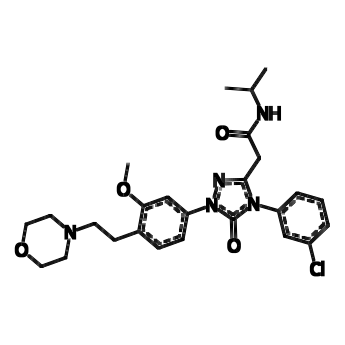 COc1cc(-n2nc(CC(=O)NC(C)C)n(-c3cccc(Cl)c3)c2=O)ccc1CCN1CCOCC1